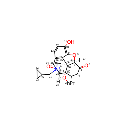 CCCO[C@@]12CCC(=O)[C@@H]3Oc4c(O)ccc5c4[C@@]31CC[N+]([O-])(CC1CC1)[C@@H]2C5